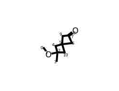 COC1(C)CC2(CC(=O)C2)C1